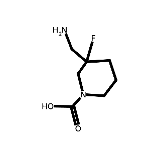 NCC1(F)CCCN(C(=O)O)C1